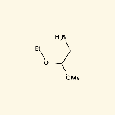 BCC(OC)OCC